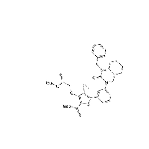 COC(=O)c1sc(-c2cccc(N(CC3CCCCC3)C(=O)NCc3ccccc3)c2)c(C)c1OCC(=O)OC(C)(C)C